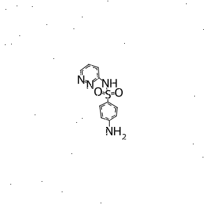 Nc1ccc(S(=O)(=O)Nc2cccnn2)cc1